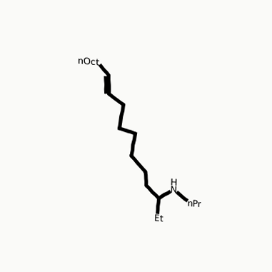 CCCCCCCCC=CCCCCCCC(CC)NCCC